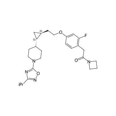 CC(C)c1noc(N2CCC([C@@H]3C[C@H]3CCOc3ccc(CC(=O)N4CCC4)c(F)c3)CC2)n1